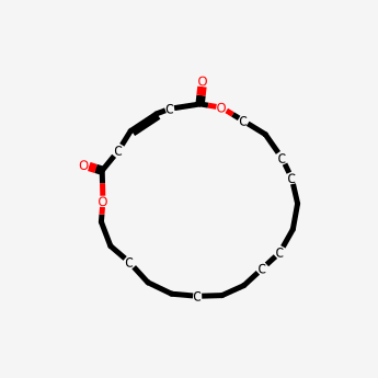 O=C1CC=CCC(=O)OCCCCCCCCCCCCCCCCO1